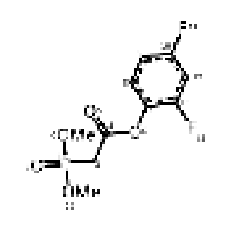 COP(=O)(CC(=O)Oc1ccc(F)cc1F)OC